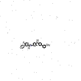 Cc1nc(/C=N/Nc2ncc(F)c(N3CCOCC3)n2)ccc1Nc1ccc(-c2cccc(O)c2)cc1